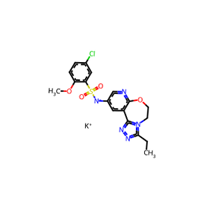 CCc1nnc2n1CCOc1ncc([N-]S(=O)(=O)c3cc(Cl)ccc3OC)cc1-2.[K+]